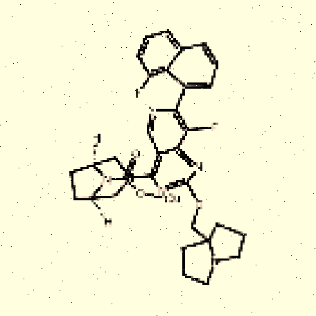 CC(C)(C)OC(=O)N1[C@@H]2CC[C@H]1CN(c1nc(OCC34CCCN3CCC4)nc3c(F)c(-c4cccc5cccc(F)c45)ncc13)C2